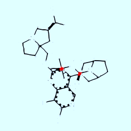 CC(C)(C)OC(=O)N1C2CCC1CN(c1nc(OCC34CCCN3CC(=C(F)F)C4)nc3c(F)c(Cl)ncc13)C2